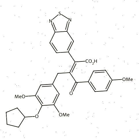 COc1ccc(C(=O)/C(Cc2cc(OC)c(OC3CCCC3)c(OC)c2)=C(\C(=O)O)c2ccc3nsnc3c2)cc1